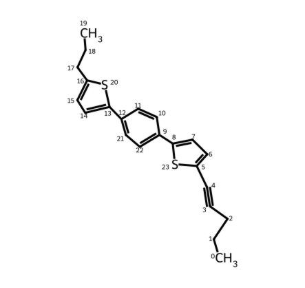 CCCC#Cc1ccc(-c2ccc(-c3ccc(CCC)s3)cc2)s1